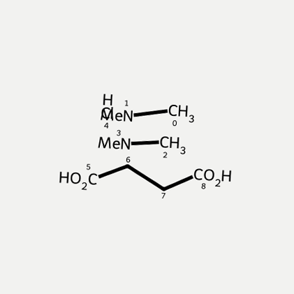 CNC.CNC.Cl.O=C(O)CCC(=O)O